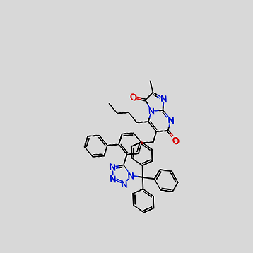 CCCCc1c(Cc2ccc(-c3ccccc3)c(-c3nnnn3C(c3ccccc3)(c3ccccc3)c3ccccc3)c2)c(=O)nc2n1C(=O)C(C)=N2